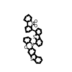 O=S1(=O)c2ccccc2-c2cccc(-c3cccc4c3sc3c(N5c6ccccc6Oc6cc7sc8ccccc8c7cc65)cccc34)c21